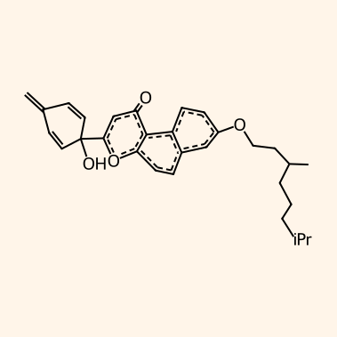 C=C1C=CC(O)(c2cc(=O)c3c(ccc4cc(OCCC(C)CCCC(C)C)ccc43)o2)C=C1